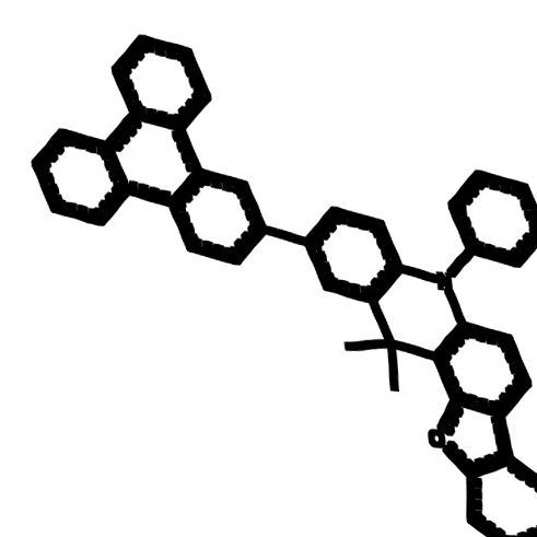 CC1(C)c2cc(-c3ccc4c5ccccc5c5ccccc5c4c3)ccc2N(c2ccccc2)c2ccc3c(oc4ccccc43)c21